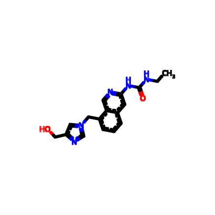 CCNC(=O)Nc1cc2cccc(Cn3cnc(CO)c3)c2cn1